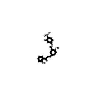 COc1ccc(/C=C/C(=O)c2ccccc2O)cc1COc1ccc([N+](=O)[O-])c(C)c1